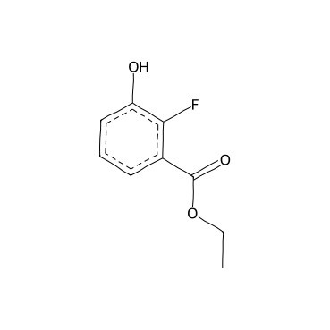 CCOC(=O)c1cccc(O)c1F